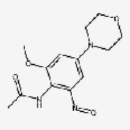 COc1cc(N2CCOCC2)cc(N=O)c1NC(C)=O